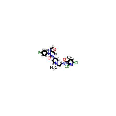 Cc1cc(Cl)nc(Cl)c1C(=O)NCC[C@@H](C)N1CCC(N(CC2CCCO2)C(=O)Nc2ccc(F)cc2)CC1